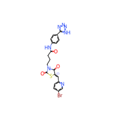 O=C(CCCN1C(=O)S/C(=C\c2ccc(Br)cn2)C1=O)Nc1ccc(-c2nnn[nH]2)cc1